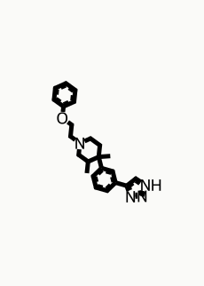 CC1CN(CCOc2ccccc2)CCC1(C)c1cccc(-c2c[nH]nn2)c1